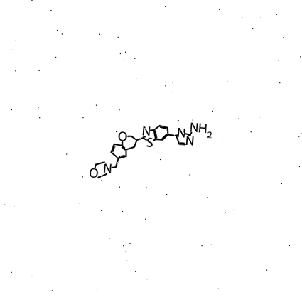 Nc1nccc(-c2ccc3nc(C4COc5ccc(CN6CCOCC6)cc5C4)sc3c2)n1